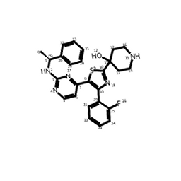 C[C@H](Nc1nccc(-c2sc(C3(O)CCNCC3)nc2-c2ccccc2F)n1)c1ccccc1